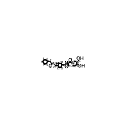 O=C(Cc1ccccc1)NCc1ccc(-c2nc(C(=O)N3CC[C@@H](O)[C@H](CO)C3)co2)cc1